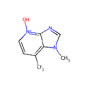 Cn1cnc2c1c(C(F)(F)F)cc[n+]2O